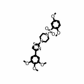 COc1ccc(OC)c(S(=O)(=O)N2CCN(c3nc(-c4cc(OC)c(OC)c(OC)c4)cs3)CC2)c1